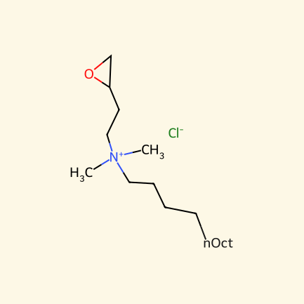 CCCCCCCCCCCC[N+](C)(C)CCC1CO1.[Cl-]